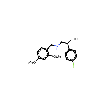 COc1ccc(CNCC(C=O)c2ccc(F)cc2)c(OC)c1